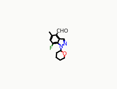 Cc1cc(F)c2c(cnn2C2CCCCO2)c1C=O